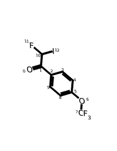 O=C(c1ccc(OC(F)(F)F)cc1)C(F)I